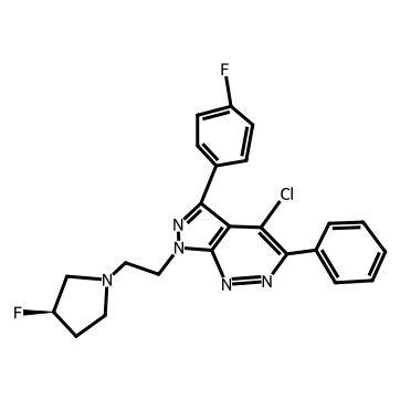 Fc1ccc(-c2nn(CCN3CC[C@@H](F)C3)c3nnc(-c4ccccc4)c(Cl)c23)cc1